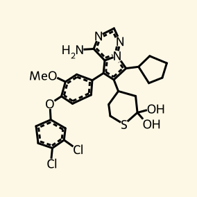 COc1cc(-c2c(C3CCSC(O)(O)C3)c(C3CCCC3)n3ncnc(N)c23)ccc1Oc1ccc(Cl)c(Cl)c1